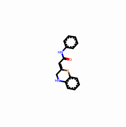 O=C(C=C1CNc2ccccc2S1)Nc1ccccc1